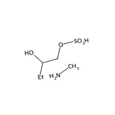 CCC(O)COS(=O)(=O)O.CN